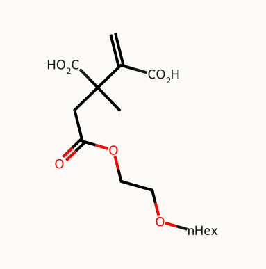 C=C(C(=O)O)C(C)(CC(=O)OCCOCCCCCC)C(=O)O